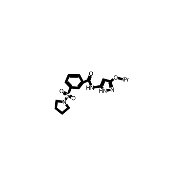 CC(C)Oc1cc(NC(=O)c2cccc(S(=O)(=O)N3CCCC3)c2)[nH]n1